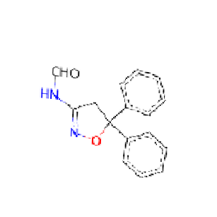 O=CNC1=NOC(c2ccccc2)(c2ccccc2)C1